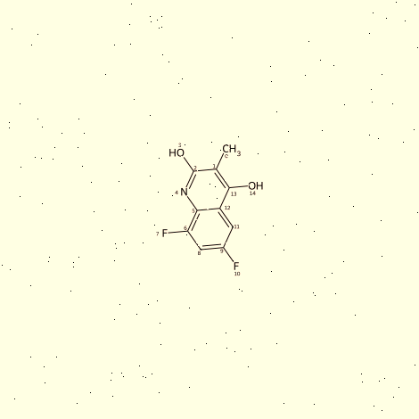 Cc1c(O)nc2c(F)cc(F)cc2c1O